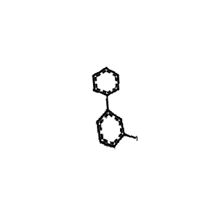 Ic1[c]ccc(-c2ccccc2)c1